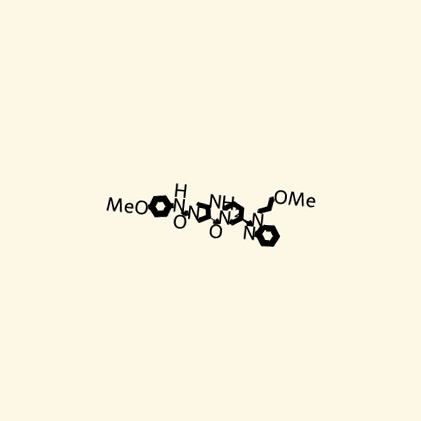 COCCCn1c([C@@H]2CCCN(C(=O)[C@@H]3CN(C(=O)Nc4ccc(OC)cc4)C[C@H]3N)C2)nc2ccccc21